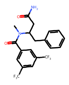 CN(C(=O)c1cc(C(F)(F)F)cc(C(F)(F)F)c1)C(CC(N)=O)Cc1ccccc1